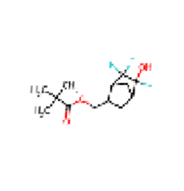 CC(C)(C)C(=O)OCC1CC2CC1C(F)(F)C2(O)F